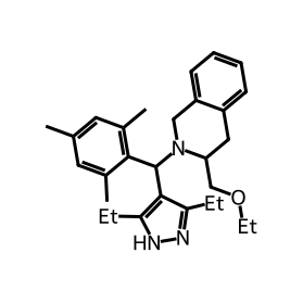 CCOCC1Cc2ccccc2CN1C(c1c(C)cc(C)cc1C)c1c(CC)n[nH]c1CC